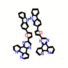 c1cnc2c(c1)c1ncc(-c3ccc(-c4ccc5c6ccccc6n(-n6c7ccccc7c7ccc(-c8ccc(-c9cnc%10c%11cccnc%11c%11ncccc%11c%10n9)o8)cc76)c5c4)o3)nc1c1cccnc12